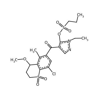 CCCS(=O)(=O)Oc1c(C(=O)c2cc(Cl)c3c(c2C)C(OC)CCS3(=O)=O)cnn1CC